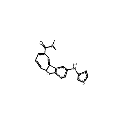 CN(C)C(=O)C1=CC=CC2Oc3ccc(Nc4ccsc4)cc3C2=C1